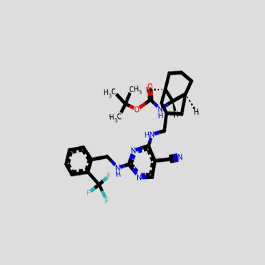 CC(C)(C)OC(=O)N[C@@H]1[C@@H]2CCC[C@H]1CC(CNc1nc(NCc3ccccc3C(F)(F)F)ncc1C#N)C2